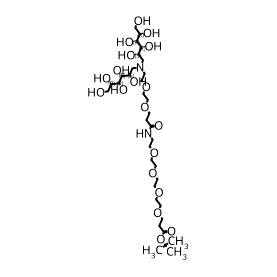 CC(C)(C)OC(=O)CCOCCOCCOCCOCCNC(=O)CCOCCOCCN(C[C@H](O)[C@@H](O)[C@H](O)[C@H](O)CO)C[C@H](O)[C@@H](O)[C@H](O)[C@H](O)CO